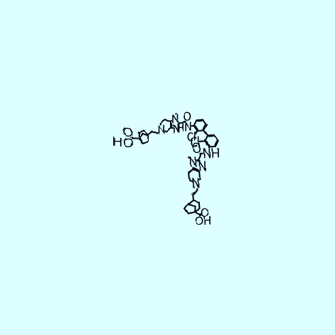 Cn1c(C(=O)Nc2cccc(-c3cccc(NC(=O)c4nc5c(n4C)CCN(CCC46CCC(C(=O)O)(CC4)C6)C5)c3Cl)c2Cl)nc2c1CCN(CCC1CCC3(C(=O)O)CCC1C3)C2